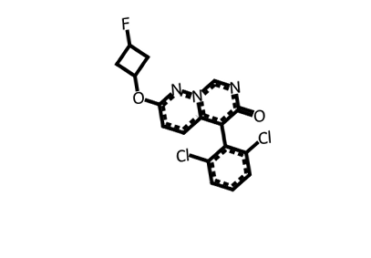 O=c1ncn2nc(OC3CC(F)C3)ccc2c1-c1c(Cl)cccc1Cl